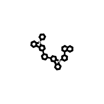 c1ccc(-n2c3ccccc3c3cc(-c4cccc(-c5ccc6c(c5)c5ccccc5n6-c5cccc(-c6cccc7ccccc67)c5)c4)ccc32)cc1